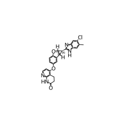 Cc1cc2[nH]c([C@@H]3[C@H]4Oc5ccc(Oc6ccnc7c6CCC(=O)N7)cc5[C@H]43)nc2cc1Cl